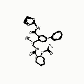 N#C[C@@H](CNC(=O)[C@@H]1CCCCN1OC(=O)C(F)(F)F)c1ccc(-c2ccccc2)cc1C(=O)Nc1nccs1